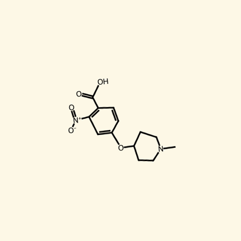 CN1CCC(Oc2ccc(C(=O)O)c([N+](=O)[O-])c2)CC1